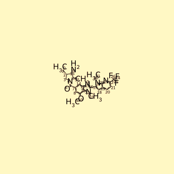 CC[C@@H]1CN(C(=O)c2cc(OC)c3c(c2)nc(-c2cc4ccc(C(F)(F)F)nc4n2CC)n3C)[C@H](C)[C@@H]1N